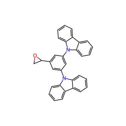 c1ccc2c(c1)c1ccccc1n2-c1cc(C2CO2)cc(-n2c3ccccc3c3ccccc32)c1